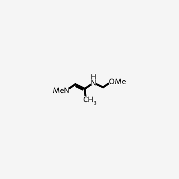 CN/C=C(\C)NCOC